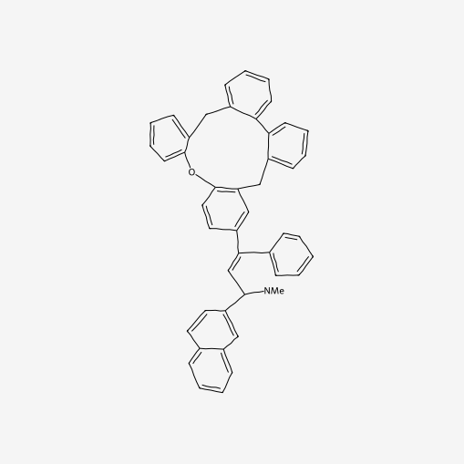 CNC(/C=C(\c1ccccc1)c1ccc2c(c1)Cc1ccccc1-c1ccccc1Cc1ccccc1O2)c1ccc2ccccc2c1